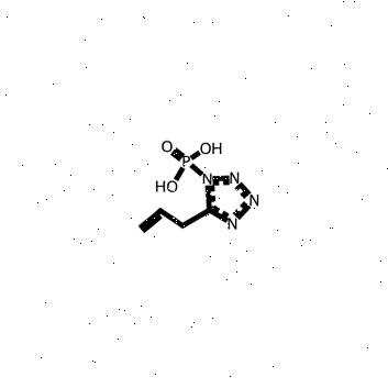 C=CCc1nnnn1P(=O)(O)O